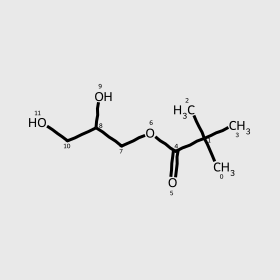 CC(C)(C)C(=O)OCC(O)CO